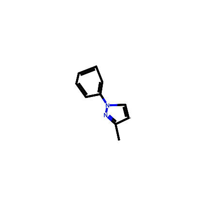 Cc1[c]cn(-c2ccccc2)n1